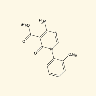 COC(=O)c1c(N)ncn(-c2ccccc2OC)c1=O